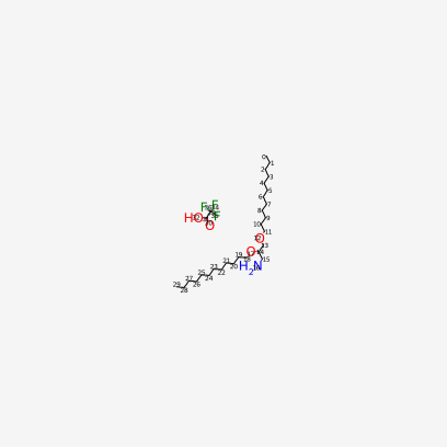 CCCCCCCCCCCCOCC(CN)OCCCCCCCCCCCC.O=C(O)C(F)(F)F